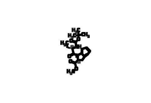 CC[C@H](NC(=O)OC(C)(C)C)C(=O)N1c2ccccc2C[C@H]1C(=O)OC